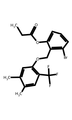 CCC(=O)Oc1cccc(Br)c1COc1cc(C)c(C)cc1C(F)(F)F